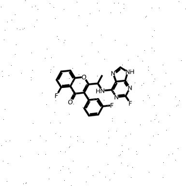 CC(Nc1nc(F)nc2[nH]cnc12)c1oc2cccc(F)c2c(=O)c1-c1cccc(F)c1